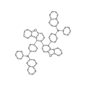 c1ccc(N(c2ccc(-c3c(-c4ccc5oc6ccccc6c5c4-c4ccc(N(c5ccccc5)c5ccc6ccccc6c5)cc4)ccc4oc5ccccc5c34)cc2)c2ccc3ccccc3c2)cc1